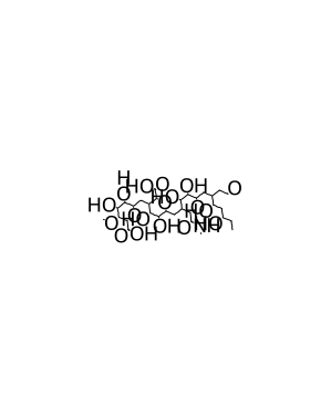 CCC(O)CC(O)C(CC=O)CC1OC(C(=O)NC)C(CC2OC(C(=O)O)C(CC3OC(C(=O)O)C(OC)C(O)C3O)C(O)C2O)C(O)C1O